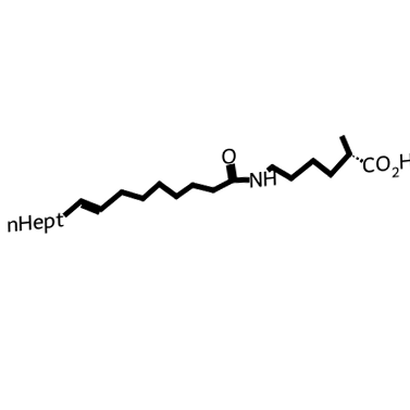 CCCCCCC/C=C/CCCCCCC(=O)NCCCC[C@H](C)C(=O)O